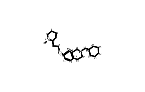 CN1CCCCC1CCOc1ccc2c(c1)CN(CC1CCCCC1)CC2